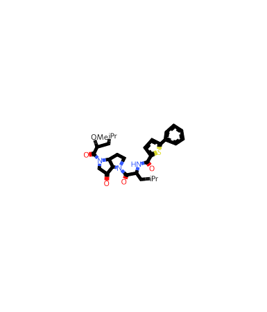 COC(CC(C)C)C(=O)N1CC(=O)C2C1CCN2C(=O)C(CC(C)C)NC(=O)c1ccc(-c2ccccc2)s1